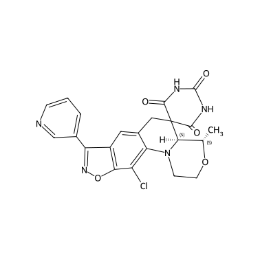 C[C@@H]1OCCN2c3c(cc4c(-c5cccnc5)noc4c3Cl)CC3(C(=O)NC(=O)NC3=O)[C@@H]12